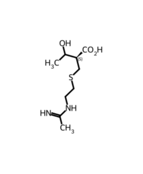 CC(=N)NCCSC[C@H](C(=O)O)C(C)O